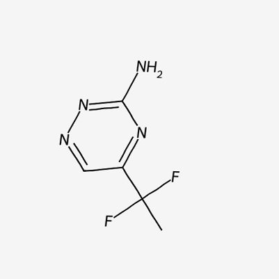 CC(F)(F)c1cnnc(N)n1